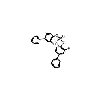 CP(=O)(Oc1ccc(-c2ccccc2)cc1F)Oc1ccc(-c2ccccc2)cc1F